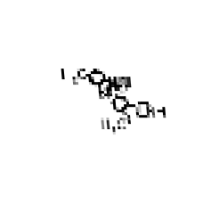 COc1ccc(S(=O)(=O)Nc2ccc(C)cc2Br)cc1N1CCNCC1.Cl